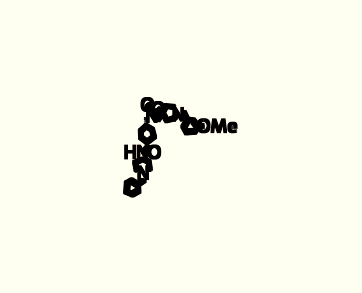 COc1cccc(CN2CCC3(CC2)CN(C[C@H]2CC[C@H](C(=O)NC4CCN(Cc5ccccc5)CC4)CC2)C(=O)O3)c1